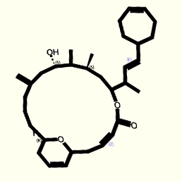 C=C1CCC[C@@H]2CC=CC(C/C=C\C(=O)OC(C(C)/C=C/C3CCC=CCC3)C[C@H](C)C(C)[C@@H](O)C1)O2